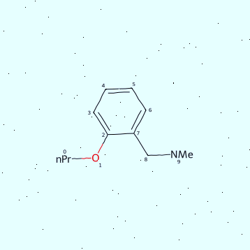 CCCOc1ccccc1CNC